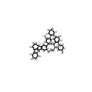 Cc1ccc2[n+](c1)C1/C=C/Cc3cc4c(cc3-c3cc(C)c(-c5ccccc5)c[n+]3C1c1ccccc1-2)c1cccc2c3ccccc3n4c21